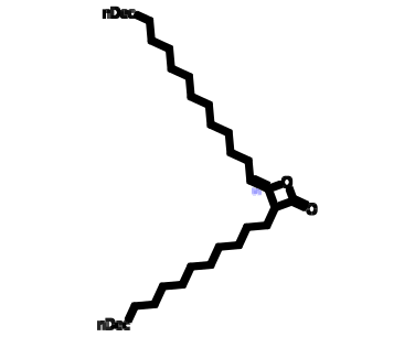 CCCCCCCCCCCCCCCCCCCCC/C=C1\OC(=O)C1CCCCCCCCCCCCCCCCCCCC